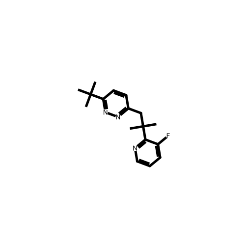 CC(C)(C)c1ccc(CC(C)(C)c2ncccc2F)nn1